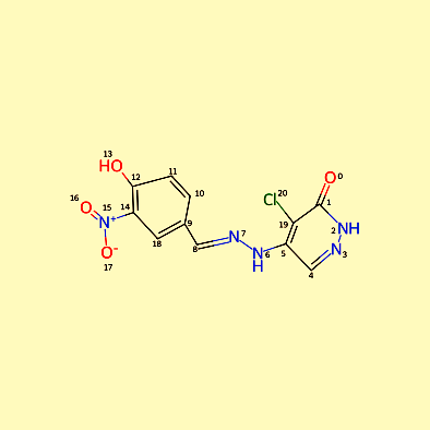 O=c1[nH]ncc(N/N=C/c2ccc(O)c([N+](=O)[O-])c2)c1Cl